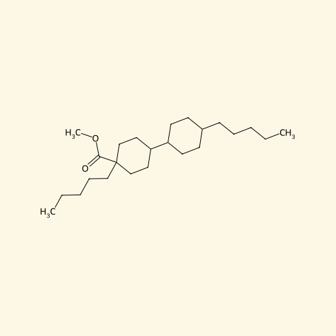 CCCCCC1CCC(C2CCC(CCCCC)(C(=O)OC)CC2)CC1